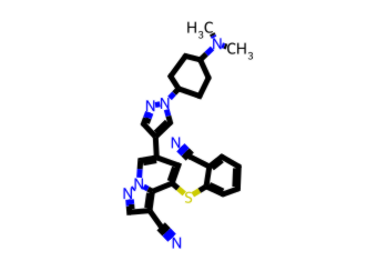 CN(C)C1CCC(n2cc(-c3cc(Sc4ccccc4C#N)c4c(C#N)cnn4c3)cn2)CC1